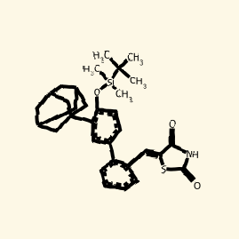 CC(C)(C)[Si](C)(C)Oc1ccc(-c2ccccc2/C=C2\SC(=O)NC2=O)cc1C12CC3CC(CC(C3)C1)C2